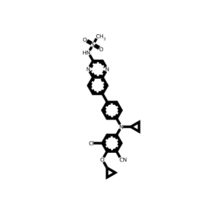 CS(=O)(=O)Nc1cnc2cc(-c3ccc(N(c4cc(Cl)c(OC5CC5)c(C#N)c4)C4CC4)cc3)ccc2n1